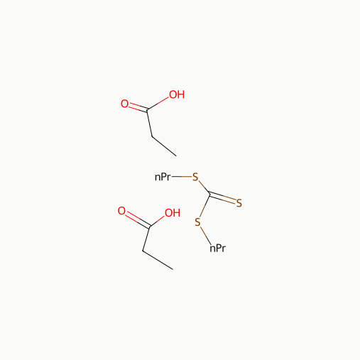 CCC(=O)O.CCC(=O)O.CCCSC(=S)SCCC